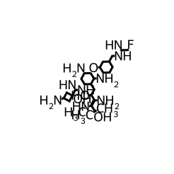 CN/C(=C(/N)C(O)CC1C(NC(=N)C2(O)CC(N)C2)CC(N)C(OC2CCCC(CNC(=N)CF)C2)C1N)C(C)(C)O